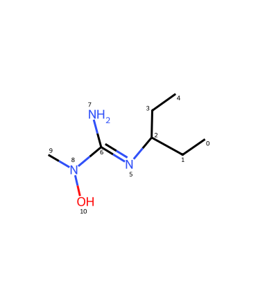 CCC(CC)/N=C(\N)N(C)O